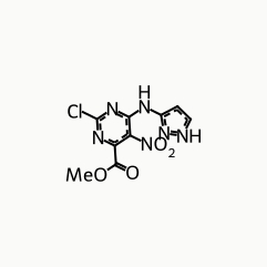 COC(=O)c1nc(Cl)nc(Nc2cc[nH]n2)c1[N+](=O)[O-]